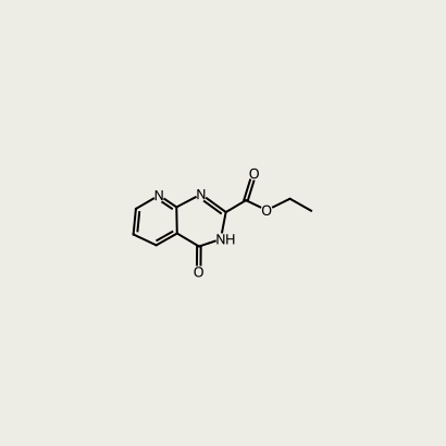 CCOC(=O)c1nc2ncccc2c(=O)[nH]1